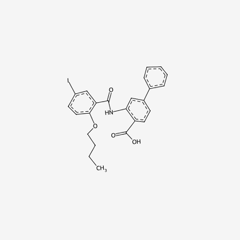 CCCCOc1ccc(I)cc1C(=O)Nc1cc(-c2ccccc2)ccc1C(=O)O